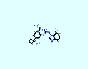 CC(NC(=O)Cn1cnc2cccc(C#N)c21)c1ccc(C2(C#N)CCC2)cc1